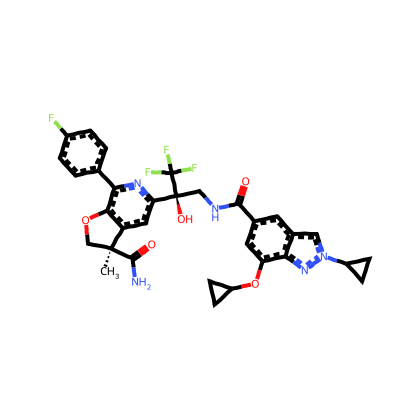 C[C@]1(C(N)=O)COc2c1cc([C@@](O)(CNC(=O)c1cc(OC3CC3)c3nn(C4CC4)cc3c1)C(F)(F)F)nc2-c1ccc(F)cc1